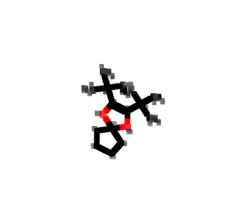 CC(C)(C)C1=C(C(C)(C)C)OC2(CCCC2)O1